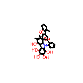 Cc1c(C)c(O)c2c(c1O)c1c(O)c(O)c(O)c(O)c1n2-c1ccccc1-c1ccc2oc3cccc(C)c3c2c1